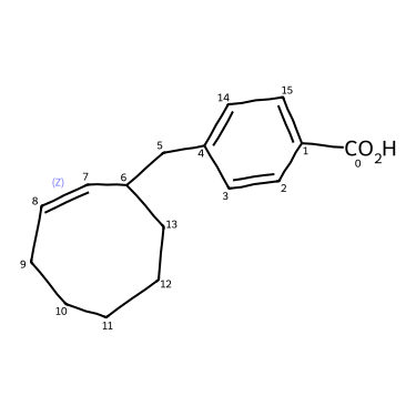 O=C(O)c1ccc(CC2/C=C\CCCCC2)cc1